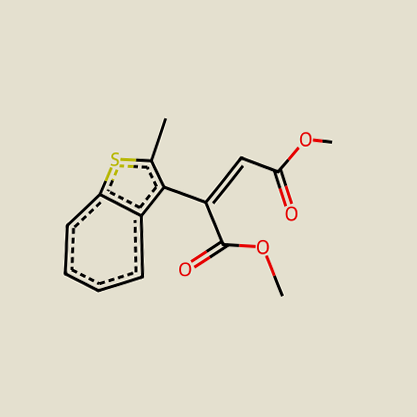 COC(=O)/C=C(\C(=O)OC)c1c(C)sc2ccccc12